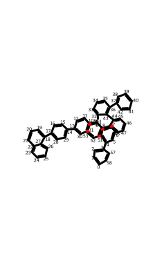 c1ccc(-c2cccc(N(c3ccc(-c4ccc(-c5cccc6ccccc56)cc4)cc3)c3cccc(-c4ccccc4)c3-c3ccccc3-c3ccccc3)c2)cc1